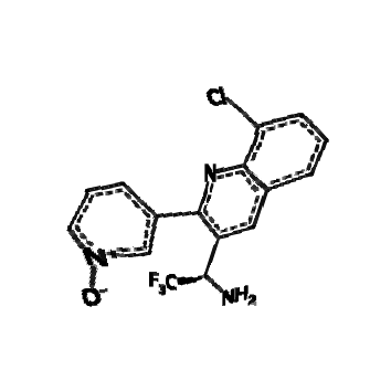 N[C@H](c1cc2cccc(Cl)c2nc1-c1ccc[n+]([O-])c1)C(F)(F)F